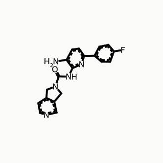 Nc1ccc(-c2ccc(F)cc2)nc1NC(=O)N1Cc2ccncc2C1